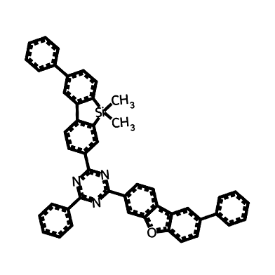 C[Si]1(C)c2ccc(-c3ccccc3)cc2-c2ccc(-c3nc(-c4ccccc4)nc(-c4ccc5c(c4)oc4ccc(-c6ccccc6)cc45)n3)cc21